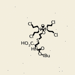 CC(C)(C)OC(=O)N[C@@H](CSCCOP(=O)(N(CCCl)CCCl)N(CCCl)CCCl)C(=O)O